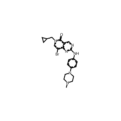 CN1CCN(c2ccc(Nc3ncc4c(=O)n(CC5CC5)cc(Br)c4n3)cc2)CC1